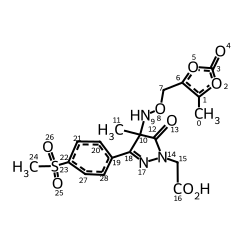 Cc1oc(=O)oc1CONC1(C)C(=O)N(CC(=O)O)N=C1c1ccc(S(C)(=O)=O)cc1